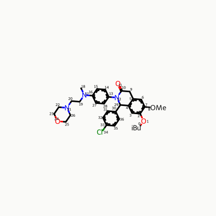 CCC(C)Oc1cc2c(cc1OC)CC(=O)N(c1ccc(N(C)CCN3CCOCC3)cc1)C2c1ccc(Cl)cc1